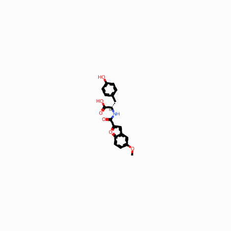 COc1ccc2oc(C(=O)N[C@@H](Cc3ccc(O)cc3)C(=O)O)cc2c1